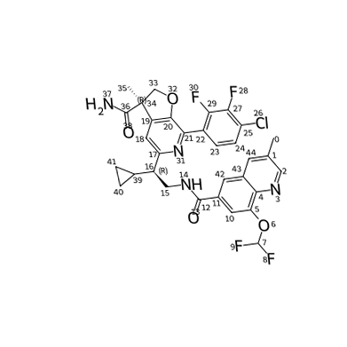 Cc1cnc2c(OC(F)F)cc(C(=O)NC[C@H](c3cc4c(c(-c5ccc(Cl)c(F)c5F)n3)OC[C@]4(C)C(N)=O)C3CC3)cc2c1